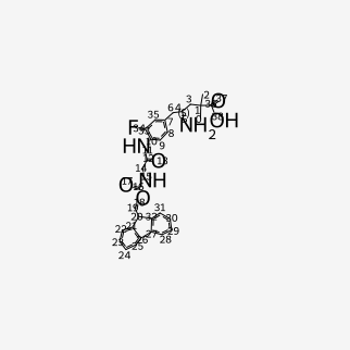 CC(C)(C[C@@H](N)Cc1ccc(NC(=O)CNC(=O)OCC2c3ccccc3-c3ccccc32)c(F)c1)C(=O)O